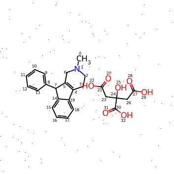 CN1CCC2=C(C1)C(c1ccccc1)c1ccccc12.O=C(O)CC(O)(CC(=O)O)C(=O)O